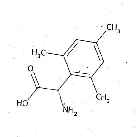 Cc1cc(C)c([C@H](N)C(=O)O)c(C)c1